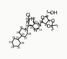 CC1(C)OC2C(O1)[C@@H](CO)O[C@H]2n1cnc2c(N3CCC(C4CCCCC4)CC3)nc(Cl)nc21